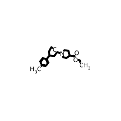 CCOC(=O)C1CCN(C2CCCC(c3ccc(C)cc3)C2)CC1